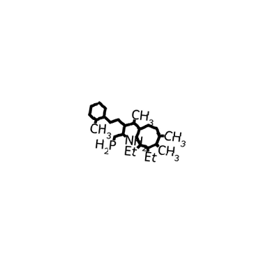 CCC1CC(C(C)C(CCC2CCCCC2C)C(N)CP)CCC(C)C(C)C1CC